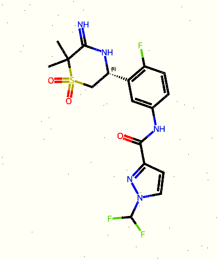 CC1(C)C(=N)N[C@H](c2cc(NC(=O)c3ccn(C(F)F)n3)ccc2F)CS1(=O)=O